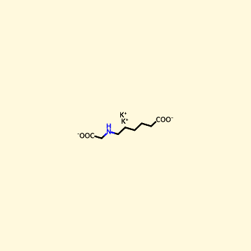 O=C([O-])CCCCCNCC(=O)[O-].[K+].[K+]